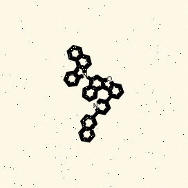 c1ccc2cc(-c3ccc(-c4cccc5oc6cc(-n7c8ccccc8c8c9ccccc9ccc87)c7ccccc7c6c45)cn3)ccc2c1